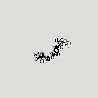 CC(C)(C)OC(=O)NC1CCC(NC(=O)O[C@@H]2CCN(c3cn[nH]c(=O)c3Cl)C2)CC1